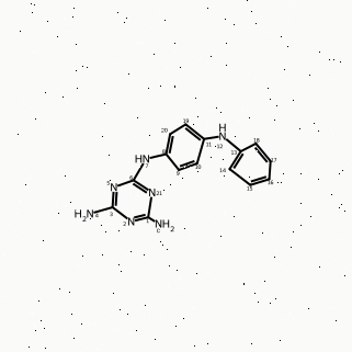 Nc1nc(N)nc(Nc2ccc(Nc3ccccc3)cc2)n1